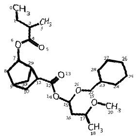 CCC(C)C(=O)OC1CC2CC(C(=O)OC(CC(C)OC)OCC3CCCCC3)C1C2